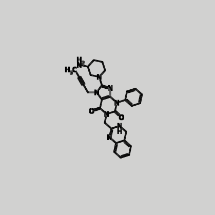 CC#CCn1c(N2CCCC(N)C2)nc2c1c(=O)n(CC1=Nc3ccccc3CN1)c(=O)n2-c1ccccc1